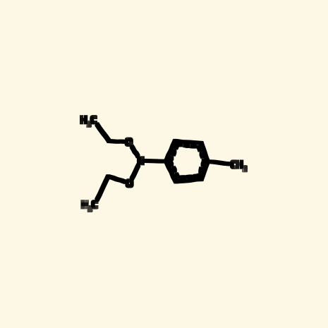 CCON(OCC)c1ccc(C)cc1